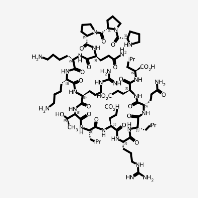 CC(C)C[C@H](NC(=O)[C@H](CCC(=O)O)NC(=O)[C@H](CCC(N)=O)NC(=O)[C@H](CC(C)C)NC(=O)[C@H](CCCNC(=N)N)NC(=O)[C@H](CCC(=O)O)NC(=O)[C@H](CC(C)C)NC(=O)[C@@H](NC(=O)[C@H](CCCNC(=N)N)NC(=O)[C@H](CCCCN)NC(=O)[C@H](CCCCN)NC(=O)[C@H](CCC(N)=O)NC(=O)[C@@H]1CCCN1C(=O)[C@@H]1CCCN1C(=O)[C@@H]1CCCN1)[C@@H](C)O)C(=O)O